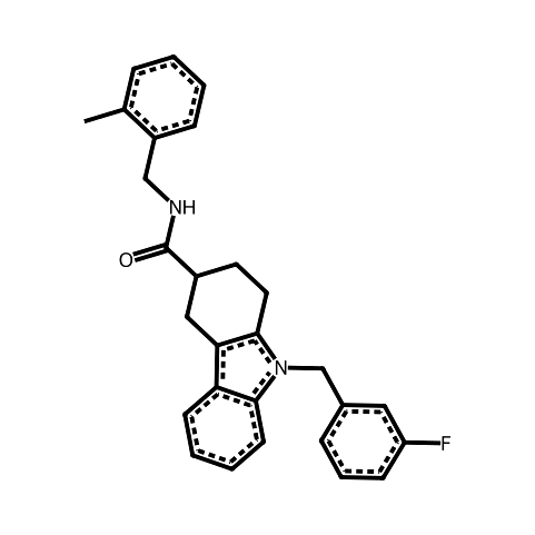 Cc1ccccc1CNC(=O)C1CCc2c(c3ccccc3n2Cc2cccc(F)c2)C1